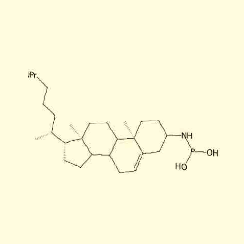 CC(C)CCC[C@@H](C)[C@H]1CCC2C3CC=C4CC(NP(O)O)CC[C@]4(C)C3CC[C@@]21C